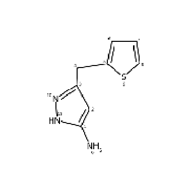 Nc1cc(Cc2cccs2)n[nH]1